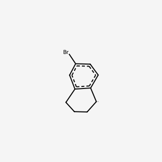 Brc1ccc2c(c1)CCC[CH]2